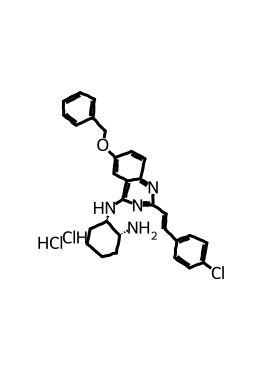 Cl.Cl.N[C@@H]1CCCC[C@@H]1Nc1nc(C=Cc2ccc(Cl)cc2)nc2ccc(OCc3ccccc3)cc12